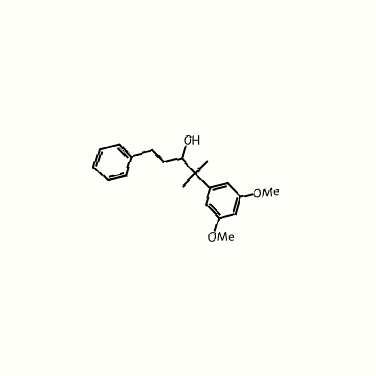 COc1cc(OC)cc(C(C)(C)C(O)CCc2ccccc2)c1